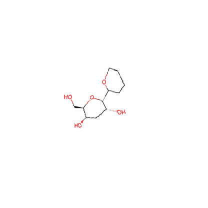 OC[C@H]1OC(C2CCCCO2)[C@H](O)C[C@H]1O